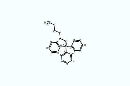 NCCCCC[PH](c1ccccc1)(c1ccccc1)c1ccccc1